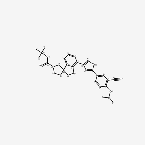 CC(C)Oc1ncc(-c2nc(-c3cccc4c3CCC43CCN(C(=O)OC(C)(C)C)C3)no2)cc1C#N